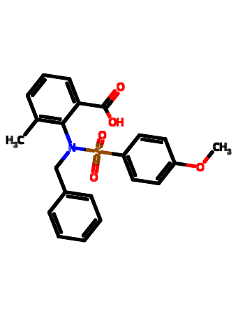 COc1ccc(S(=O)(=O)N(Cc2ccccc2)c2c(C)cccc2C(=O)O)cc1